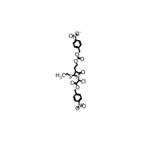 CCSC1C(CCOC(=O)OCc2ccc([N+](=O)[O-])cc2)C(=O)N1C(Cl)C(=O)OCc1ccc([N+](=O)[O-])cc1